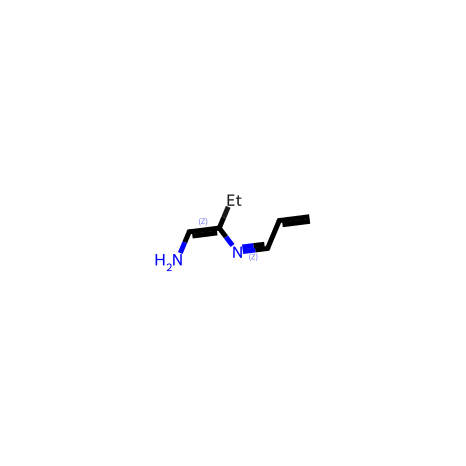 C=C/C=N\C(=C/N)CC